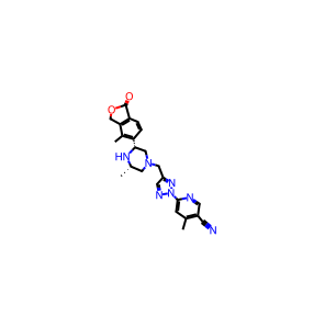 Cc1cc(-n2ncc(CN3C[C@@H](c4ccc5c(c4C)COC5=O)N[C@@H](C)C3)n2)ncc1C#N